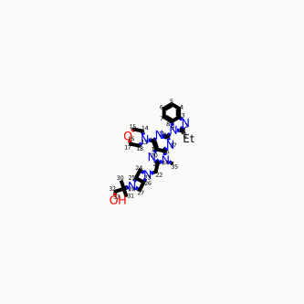 CCc1nc2ccccc2n1-c1nc(N2CCOCC2)c2nc(CN3CC4C3CN4C(C)(C)CO)n(C)c2n1